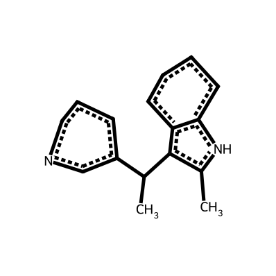 Cc1[nH]c2ccccc2c1C(C)c1cccnc1